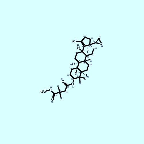 CC(C)C1=C2[C@H]3CC[C@@H]4[C@@]5(C)CC[C@H](OC(=O)CC(C)(C)C(=O)OC(C)(C)C)C(C)(C)[C@@H]5CC[C@@]4(C)[C@]3(C)CC[C@@]2([C@H]2CO2)CC1